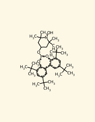 CC(C)(C)c1cc(C(C)(C)C)c2op(OC3CC(C)(C)N(O)C(C)(C)C3)oc3c(C(C)(C)C)cc(C(C)(C)C)cc3c2c1